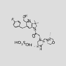 C[C@@H]1CN(CC(=O)N2CC(C)(C)c3nc(CO)c(Cc4ccc(F)cc4)cc32)[C@@H](CN2CCOC[C@H]2C)CN1.O=S(=O)(O)O